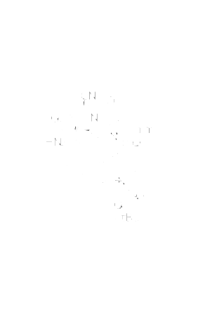 CC(C)C[C@@H](C(=O)N1C[C@]2(C[C@H]1C#N)C(=O)Nc1ccccc12)N(C)C(=O)[C@H]1CCN(C(=O)OC(C)(C)C)C1